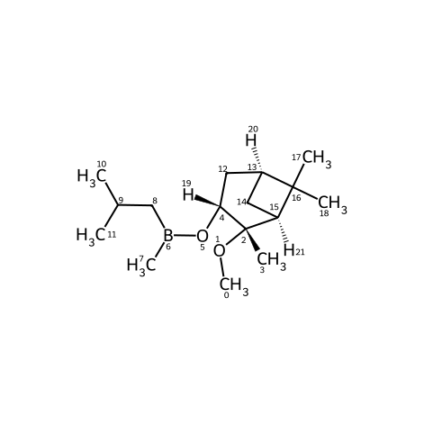 CO[C@]1(C)[C@H](OB(C)CC(C)C)C[C@@H]2C[C@H]1C2(C)C